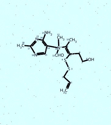 C=CCSSC(CCO)=C(C)[N+](C)(C=O)c1cnc(C)nc1N